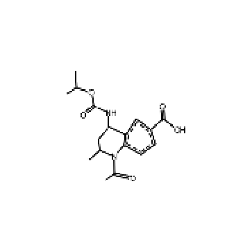 CC(=O)N1c2ccc(C(=O)O)cc2C(NC(=O)OC(C)C)CC1C